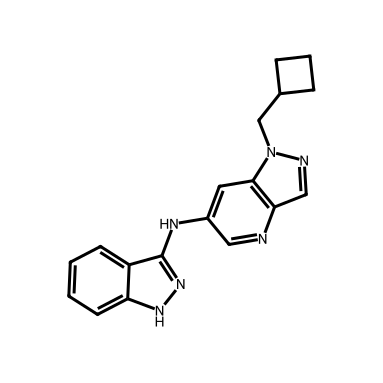 c1ccc2c(Nc3cnc4cnn(CC5CCC5)c4c3)n[nH]c2c1